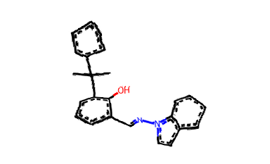 CC(C)(c1ccccc1)c1cccc(/C=N/n2ccc3ccccc32)c1O